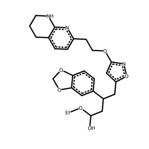 CCOC(O)CC(Cc1cc(OCCc2ccc3c(n2)NCCC3)no1)c1ccc2c(c1)OCO2